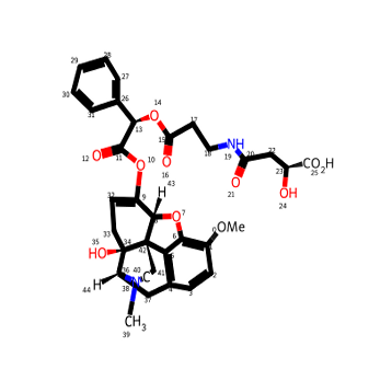 COc1ccc2c3c1O[C@H]1C(OC(=O)[C@H](OC(=O)CCNC(=O)C[C@H](O)C(=O)O)c4ccccc4)=CC[C@@]4(O)[C@@H](C2)N(C)CC[C@]314